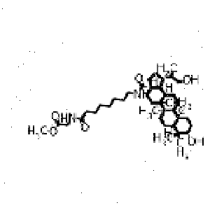 C=C(CO)[C@@H]1CC[C@]2(C(=O)NCCCCCCCC(=O)NCC(=O)OC)CC[C@]3(C)[C@H](CCC4[C@@]5(C)CC[C@H](O)C(C)(C)[C@@H]5CC[C@]43C)[C@@H]12